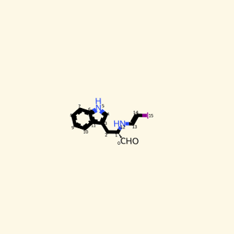 O=C[C@H](Cc1c[nH]c2ccccc12)N/C=C/I